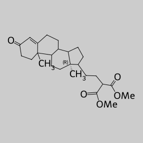 COC(=O)C(CCC1CCC2C3CCC4=CC(=O)CCC4(C)C3CC[C@]12C)C(=O)OC